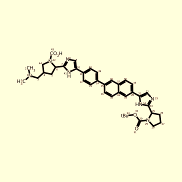 CN(C)CC1CC(c2ncc(-c3ccc(-c4ccc5cc(-c6cnc(C7CCCN7C(=O)OC(C)(C)C)[nH]6)ccc5c4)cc3)[nH]2)N(C(=O)O)C1